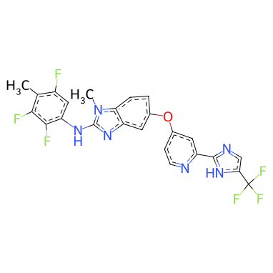 Cc1c(F)cc(Nc2nc3cc(Oc4ccnc(-c5ncc(C(F)(F)F)[nH]5)c4)ccc3n2C)c(F)c1F